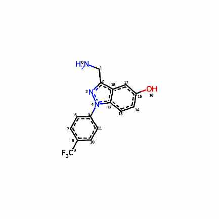 NCc1nn(-c2ccc(C(F)(F)F)cc2)c2ccc(O)cc12